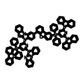 c1ccc([Si](c2ccccc2)(c2cc(-n3c4ccccc4c4ccccc43)nc(-n3c4ccccc4c4ccccc43)c2)c2ccc3oc4c(-c5ccc6c(c5)n5c7ccccc7nc5n6-c5cc([Si](c6ccccc6)(c6ccccc6)c6cccc7c6oc6ccccc67)cc(-n6c7ccccc7n7c8ccccc8nc67)n5)cccc4c3c2)cc1